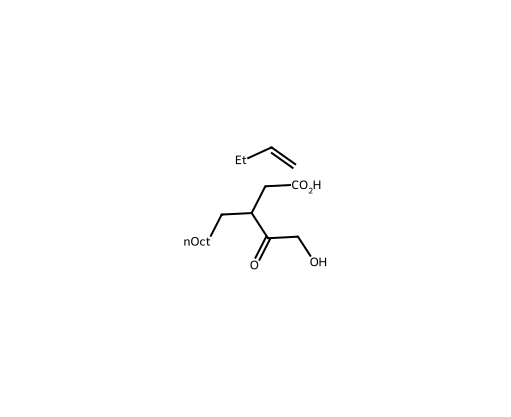 C=CCC.CCCCCCCCCC(CC(=O)O)C(=O)CO